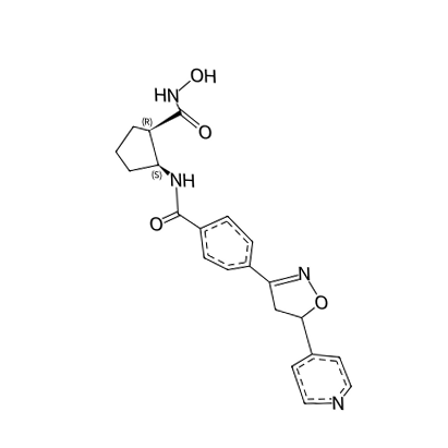 O=C(N[C@H]1CCC[C@H]1C(=O)NO)c1ccc(C2=NOC(c3ccncc3)C2)cc1